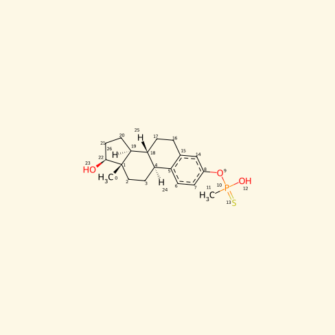 C[C@]12CC[C@@H]3c4ccc(OP(C)(O)=S)cc4CC[C@H]3[C@@H]1CC[C@@H]2O